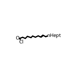 CCCCCCCCC=CCCCCCCCC(=O)Cl